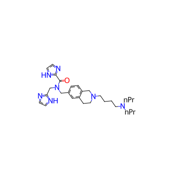 CCCN(CCC)CCCCN1CCc2cc(CN(Cc3ncc[nH]3)C(=O)c3ncc[nH]3)ccc2C1